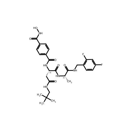 C[C@H](NC(=O)[C@H](CC(=O)NCC(C)(C)C)NC(=O)c1ccc(C(=O)NO)cc1)C(=O)NCc1ccc(F)cc1F